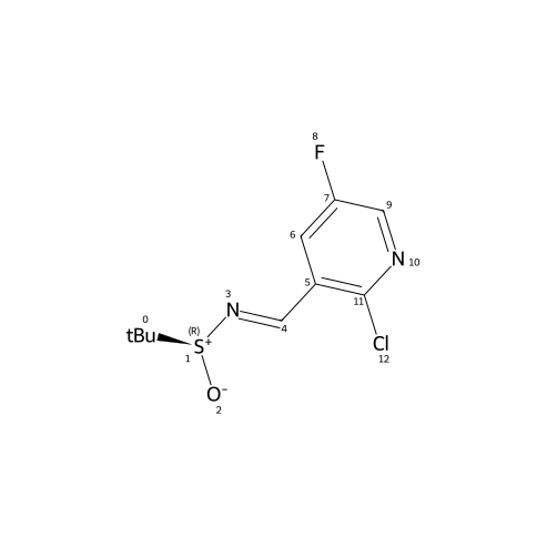 CC(C)(C)[S@+]([O-])N=Cc1cc(F)cnc1Cl